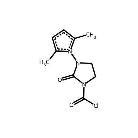 Cc1ccc(C)n1N1CCN(C(=O)Cl)C1=O